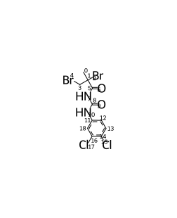 CC(Br)(CBr)C(=O)NC(=O)Nc1ccc(Cl)c(Cl)c1